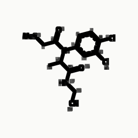 CSCC(=O)N(c1ccc(Cl)c(Cl)c1)C(C)C(=O)NCC#N